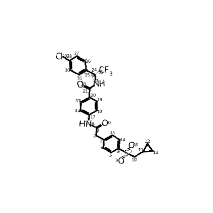 O=C(Cc1ccc(S(=O)(=O)CC2CC2)cc1)Nc1ccc(C(=O)N[C@H](c2ccc(Cl)cc2)C(F)(F)F)cc1